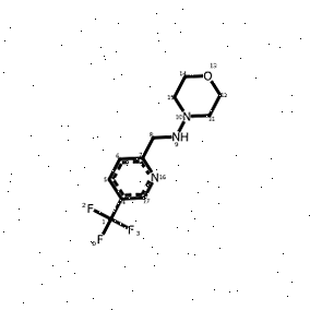 FC(F)(F)c1ccc(CNN2CCOCC2)nc1